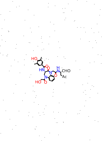 CC(=O)C[C@@H](C=O)NC(=O)CN1C(=O)[C@@H](NC(=O)c2cc(C)c(O)c(C)c2)CN(C(=O)CO)c2ccccc21